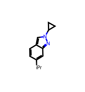 CC(C)c1ccc2cn(C3CC3)nc2c1